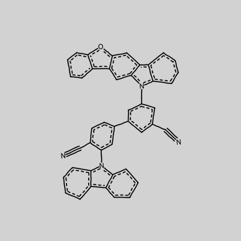 N#Cc1cc(-c2ccc(C#N)c(-n3c4ccccc4c4ccccc43)c2)cc(-n2c3ccccc3c3cc4oc5ccccc5c4cc32)c1